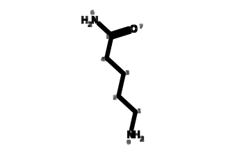 NCCC[CH]C(N)=O